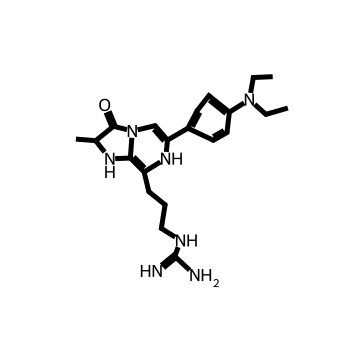 CCN(CC)c1ccc(C2=CN3C(=O)C(C)NC3=C(CCCNC(=N)N)N2)cc1